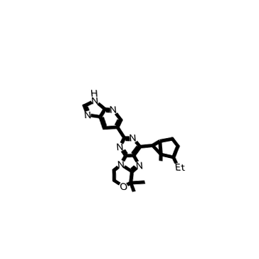 CCC1CCC2C(c3nc(-c4cnc5[nH]cnc5c4)nc4c3nc3n4CCOC3(C)C)C12C